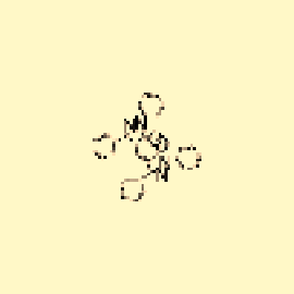 O=C1/C(=C\C2C(=O)N(c3ccccc3)N=C2c2ccccc2)C(c2ccccc2)=NN1c1ccccc1